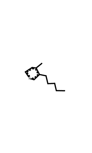 CCCCCc1cnccc1C